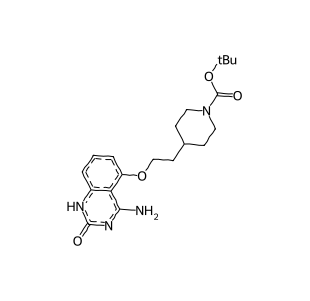 CC(C)(C)OC(=O)N1CCC(CCOc2cccc3[nH]c(=O)nc(N)c23)CC1